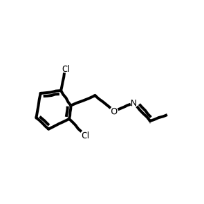 C[C]=NOCc1c(Cl)cccc1Cl